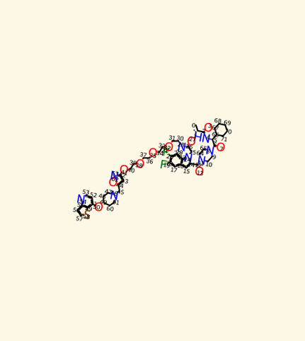 C[CH]C(=O)N[C@H](C(=O)N1CCN(C(=O)c2cc3cc(F)c(F)cc3n2CC(=O)N(C)CCOCCOCCOCCOc2cc(CN3CCC(Oc4ccnc5ccsc45)CC3)on2)CC1)C1CCCCC1